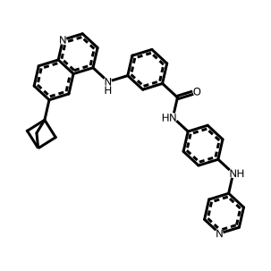 O=C(Nc1ccc(Nc2ccncc2)cc1)c1cccc(Nc2ccnc3ccc(C45CC(C4)C5)cc23)c1